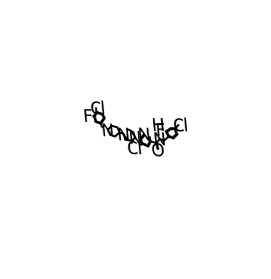 O=C(NCc1ccc(Cl)cc1F)c1cnc(N2CCN(C3CCN(Cc4ccc(Cl)c(F)c4)CC3)CC2)c(Cl)c1